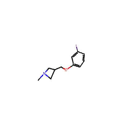 CN1CC(COc2cccc(I)c2)C1